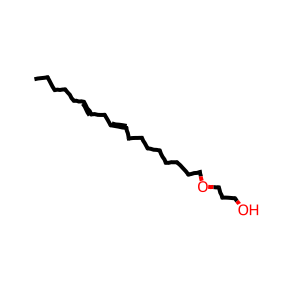 CCCCCC=CCC=CCCCCCCCCOCCCO